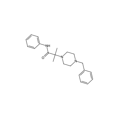 CC(C)(C(=O)Nc1ccccc1)N1CCN(Cc2ccccc2)CC1